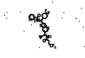 O=C(CCC(F)(F)F)N[C@@H](c1cnn2cc([C@@H](NC(=O)c3cccnc3)C3CCC(F)(F)CC3)nc2c1)C1CC1